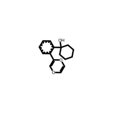 OC1(c2ccccc2C2=COC=CO2)CCCCC1